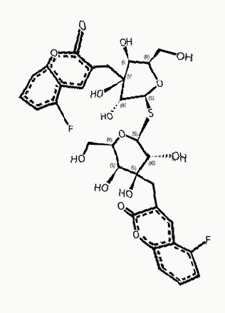 O=c1oc2cccc(F)c2cc1C[C@]1(O)[C@@H](O)[C@@H](CO)O[C@@H](S[C@@H]2O[C@H](CO)[C@H](O)[C@@](O)(Cc3cc4c(F)cccc4oc3=O)[C@H]2O)[C@@H]1O